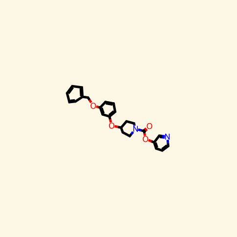 O=C(Oc1cccnc1)N1CCC(Oc2cccc(OCc3ccccc3)c2)CC1